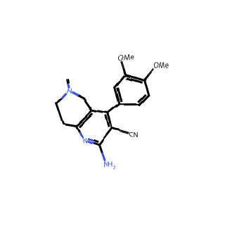 COc1ccc(-c2c(C#N)c(N)nc3c2CN(C)CC3)cc1OC